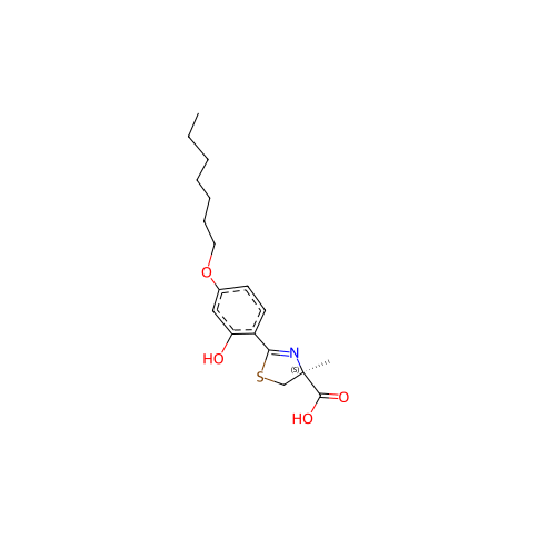 CCCCCCCOc1ccc(C2=N[C@@](C)(C(=O)O)CS2)c(O)c1